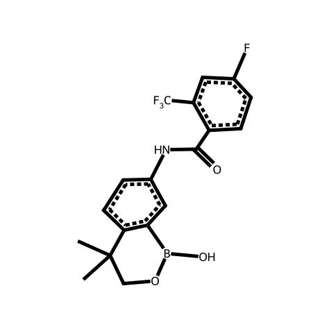 CC1(C)COB(O)c2cc(NC(=O)c3ccc(F)cc3C(F)(F)F)ccc21